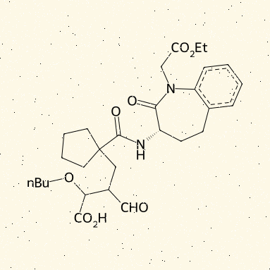 CCCCOC(C(=O)O)C(C=O)CC1(C(=O)N[C@H]2CCc3ccccc3N(CC(=O)OCC)C2=O)CCCC1